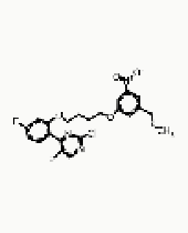 CSCc1cc(OCCCCOc2cc(F)ccc2-c2nc(Cl)ncc2F)cc([N+](=O)[O-])c1